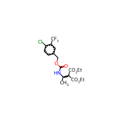 CCOC(=O)C(C(=O)OCC)=C(C)NC(=O)OCc1ccc(Cl)c(C(F)(F)F)c1